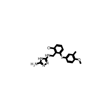 COc1ccc(Sc2cccc(Cl)c2CNc2nnc(N)[nH]2)cc1C